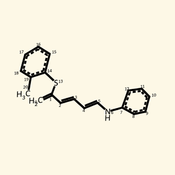 C=C(C=CC=CNc1ccccc1)Sc1ccccc1C